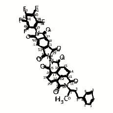 CC(CCc1ccccc1)N1C(=O)c2ccc3c4c(ccc(c24)C1=O)C(=O)N(n1c(=O)c2cc4c(=O)n(-c5c(F)c(F)c(F)c(F)c5F)c(=O)c4cc2c1=O)C3=O